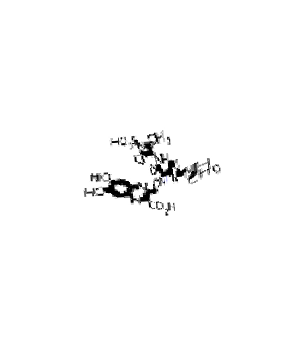 C[C@H]1[C@H](NC(=O)/C(=N\OCc2nc3cc(O)c(O)cc3nc2C(=O)O)c2csc(NC=O)n2)C(=O)N1S(=O)(=O)O